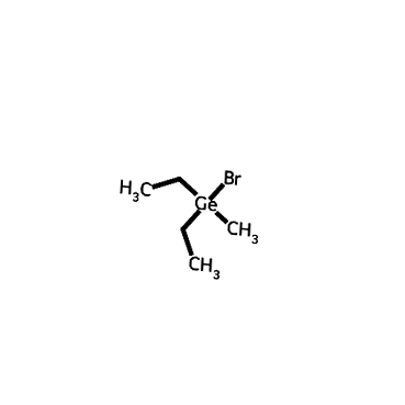 C[CH2][Ge]([CH3])([Br])[CH2]C